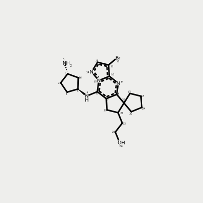 N[C@H]1CC[C@H](Nc2c3c(nc4c(Br)cnn24)C2(CCCC2)C(CCO)C3)C1